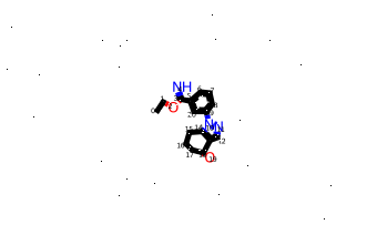 CCOC(=N)c1cccc(-n2ncc3c2CCCC3=O)c1